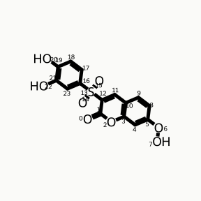 O=c1oc2cc(OO)ccc2cc1S(=O)(=O)c1ccc(O)c(O)c1